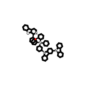 c1ccc([Si](c2ccccc2)(c2cccc(-n3c4ccccc4c4cc(-n5c6ccccc6c6ccccc65)ccc43)c2)c2ccccc2-c2ccccc2-c2nccc3c2oc2ccccc23)cc1